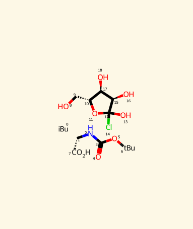 CC[C@H](C)[C@H](NC(=O)OC(C)(C)C)C(=O)O.OC[C@H]1OC(O)(Cl)[C@H](O)[C@@H]1O